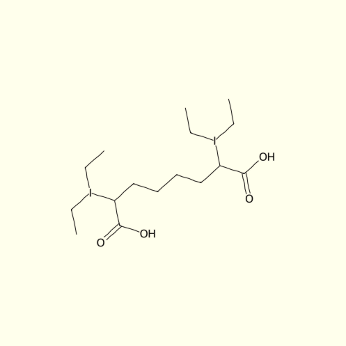 CCI(CC)C(CCCCC(C(=O)O)I(CC)CC)C(=O)O